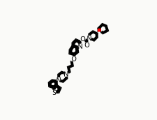 O=C(Oc1ccc2ccc(OCCCCN3CCN(c4cccc5sccc45)CC3)cc2n1)N1CCC(N2CCCCC2)CC1